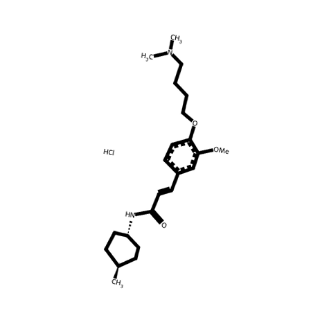 COc1cc(/C=C/C(=O)N[C@H]2CC[C@H](C)CC2)ccc1OCCCCN(C)C.Cl